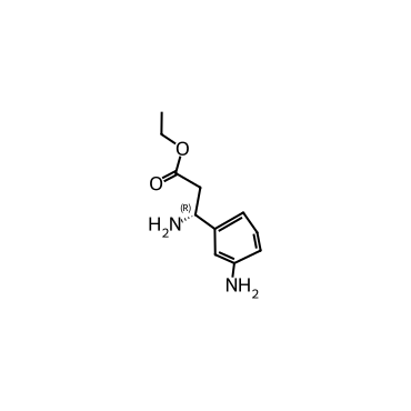 CCOC(=O)C[C@@H](N)c1cccc(N)c1